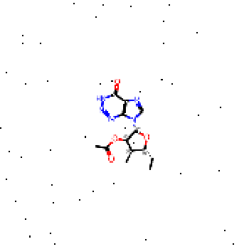 CC[C@H]1O[C@@H](n2cnc3c(=O)[nH]nnc32)[C@H](OC(C)=O)[C@@H]1C